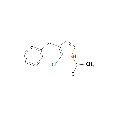 CC(C)[SH]1C=CC(Cc2ccccc2)=C1Cl